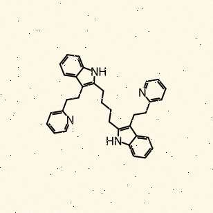 c1ccc(CCc2c(CCCCc3[nH]c4ccccc4c3CCc3ccccn3)[nH]c3ccccc23)nc1